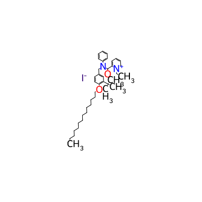 CCCCCCCCCCCCCCOc1ccc(CN(C(=O)c2cccc[n+]2CC)c2ccccc2)cc1C(C)(C)C.[I-]